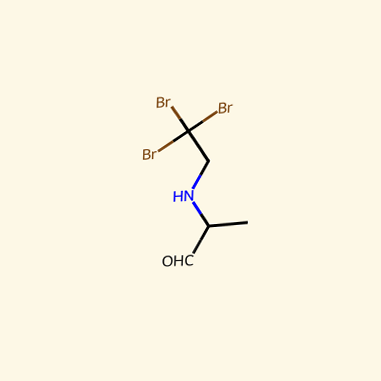 CC(C=O)NCC(Br)(Br)Br